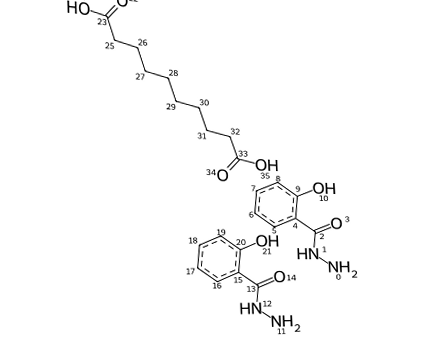 NNC(=O)c1ccccc1O.NNC(=O)c1ccccc1O.O=C(O)CCCCCCCCC(=O)O